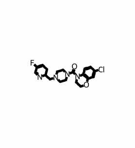 O=C(N1CCN(CC2CC=C(F)C=N2)CC1)N1CCOc2cc(Cl)ccc21